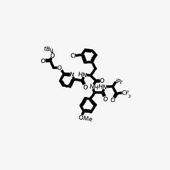 COc1ccc(C(NC(=O)C(Cc2cccc(Cl)c2)NC(=O)c2cccc(OCC(=O)OC(C)(C)C)n2)C(=O)NC(C(=O)C(F)(F)F)C(C)C)cc1